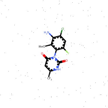 COc1c(N)c(Cl)cc(F)c1-n1c(=O)cc(C(F)(F)F)[nH]c1=O